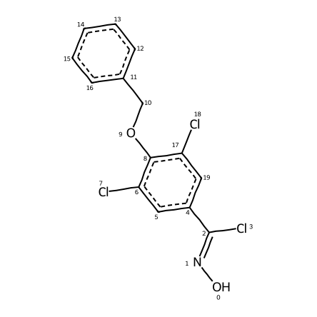 ON=C(Cl)c1cc(Cl)c(OCc2ccccc2)c(Cl)c1